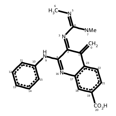 C=C1/C(=N\C(=N/C)NC)C(Nc2ccccc2)=Nc2cc(C(=O)O)ccc21